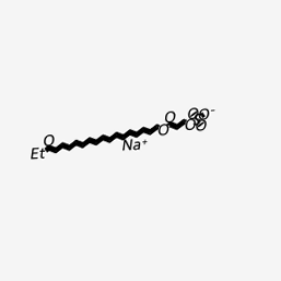 CCC(=O)CCCCCCCCCCCCCCCCOC(=O)CCOS(=O)(=O)[O-].[Na+]